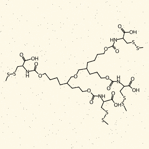 CSSCC(NC(=O)OCCCCC(CCCOC(=O)NC(CSSC)C(=O)O)COCC(CCCCOC(=O)NC(CSSC)C(=O)O)CCCOC(=O)NC(CSSC)C(=O)O)C(=O)O